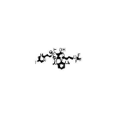 COc1cccc(OC)c1-n1c(CCCOC(F)(F)F)nc(O)c(NS(=O)(=O)CCc2ncc(F)cn2)c1=O